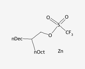 CCCCCCCCCCC(CCCCCCCC)COS(=O)(=O)C(F)(F)F.[Zn]